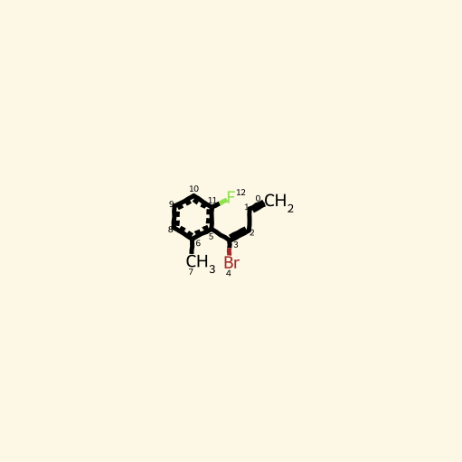 C=C/C=C(/Br)c1c(C)cccc1F